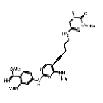 CCCNc1nc(Nc2ccc(C(=N)OC)c(NC)c2)ncc1C#CCCCNC(=O)CN(C)C(=O)OC(C)(C)C